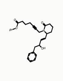 CC(C)OC(=O)CCCC#CCN1C(=O)CCCC1C=CC(O)Cc1ccccc1